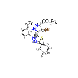 CCOC(=O)c1nn(-c2ccccc2C(C)C)c(-c2nnc(-c3cccc(C)c3)s2)c1Br